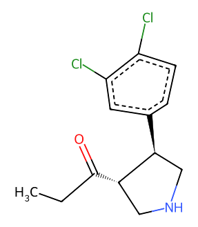 CCC(=O)[C@H]1CNC[C@@H]1c1ccc(Cl)c(Cl)c1